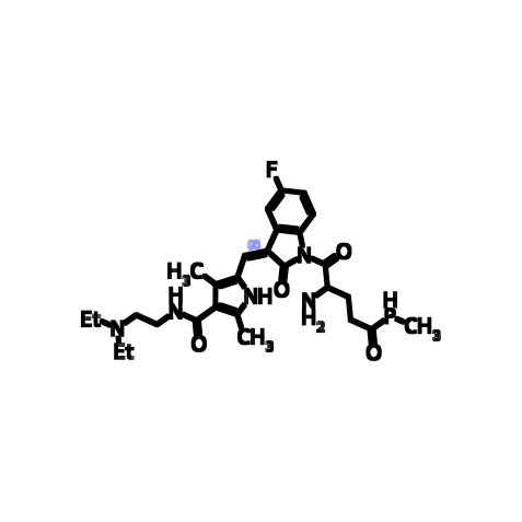 CCN(CC)CCNC(=O)c1c(C)[nH]c(/C=C2\C(=O)N(C(=O)C(N)CCC(=O)PC)c3ccc(F)cc32)c1C